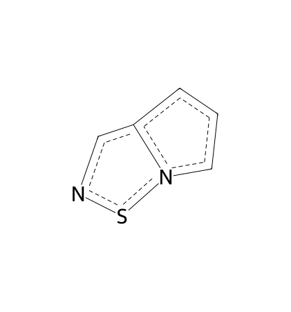 c1cc2cnsn2c1